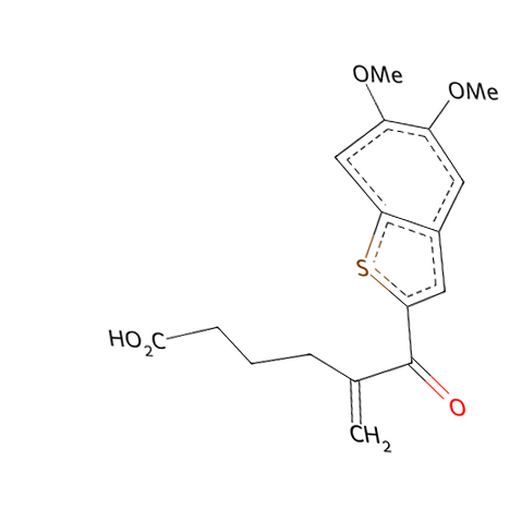 C=C(CCCC(=O)O)C(=O)c1cc2cc(OC)c(OC)cc2s1